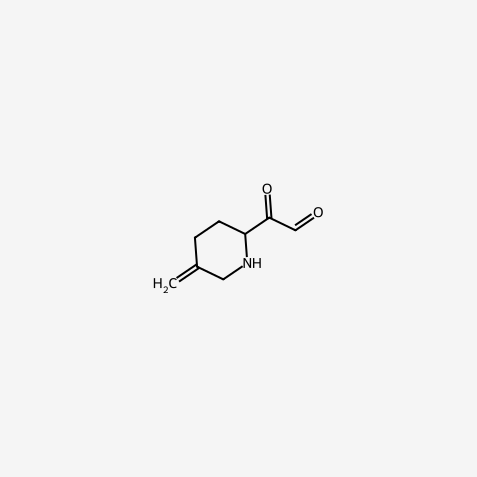 C=C1CCC(C(=O)C=O)NC1